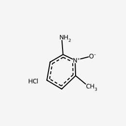 Cc1cccc(N)[n+]1[O-].Cl